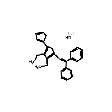 CCC1=[C]([Zr]=[C](c2ccccc2)c2ccccc2)CC(C2=CC=CC2)=C1CC.Cl.Cl